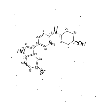 O[C@H]1CC[C@H](Nc2ccc(-c3c[nH]c4ncc(Br)cc34)cn2)CC1